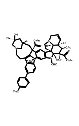 CC[C@]1(O)C[C@H]2CN(CCc3c([nH]c4ccc(-c5ccc(OC)cc5)cc34)[C@@](C(=O)OC)(c3cc4c(cc3OC)N(C=O)[C@H]3[C@@](O)(C(=O)OC)[C@H](OC(C)=O)[C@]5(CC)C=CCN6CC[C@]43[C@@H]65)C2)C1